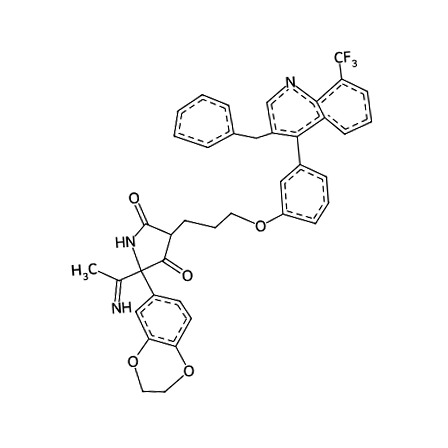 CC(=N)C1(c2ccc3c(c2)OCCO3)NC(=O)C(CCCOc2cccc(-c3c(Cc4ccccc4)cnc4c(C(F)(F)F)cccc34)c2)C1=O